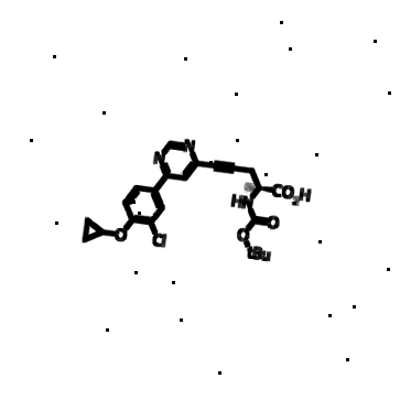 CC(C)(C)OC(=O)N[C@@H](CC#Cc1cc(-c2ccc(OC3CC3)c(Cl)c2)ncn1)C(=O)O